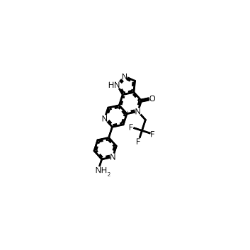 Nc1ccc(-c2cc3c(cn2)c2[nH]ncc2c(=O)n3CC(F)(F)F)cn1